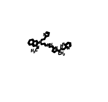 C=NC1=C(N(CCCNCCC2=NC(C(=C)NCc3ncccc3F)CC2)CCC2=NC=CC2)CC2CCCCC2=C1